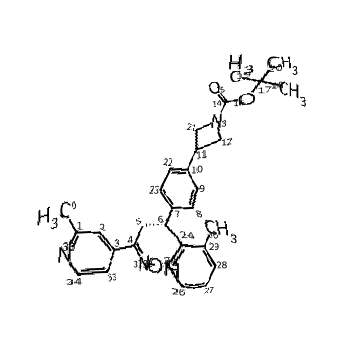 Cc1cc(/C(C[C@H](c2ccc(C3CN(C(=O)OC(C)(C)C)C3)cc2)c2ccccc2C)=N/O)ccn1